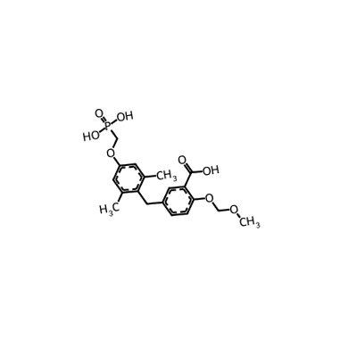 COCOc1ccc(Cc2c(C)cc(OCP(=O)(O)O)cc2C)cc1C(=O)O